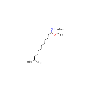 C=C(CCCC)CCCCCCCCCC(=N)OC(CC)CCCCC